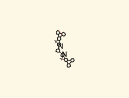 CC1(C)c2cc(-c3cccc(-c4cnc5c(c4)C(C)(C)c4cc6c7ccccc7c7ccccc7c6cc4-5)c3)ncc2-c2cc3c4ccccc4c4ccccc4c3cc21